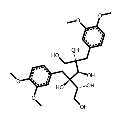 COc1ccc(C[C@](O)(CO)[C@@H](O)[C@@](O)(Cc2ccc(OC)c(OC)c2)[C@H](O)CO)cc1OC